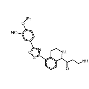 CC(C)Oc1ccc(-c2nc(-c3cccc4c3CCNC4C(=O)CCN)no2)cc1C#N